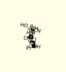 CC(C)c1c[nH]c2ccc(Oc3c(Cl)cc(NN=C(C#N)C(=O)NC(=O)O)cc3Cl)nc12